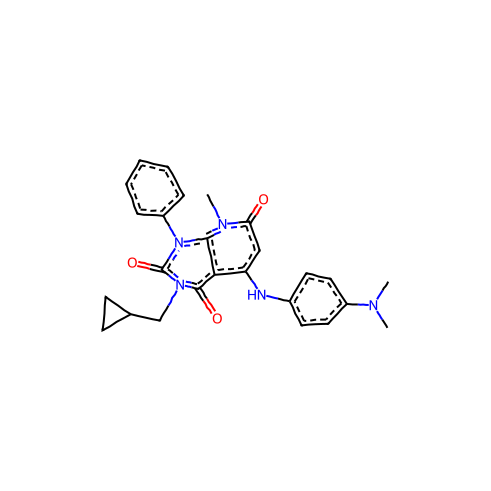 CN(C)c1ccc(Nc2cc(=O)n(C)c3c2c(=O)n(CC2CC2)c(=O)n3-c2ccccc2)cc1